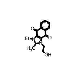 CCN1C2=C(C(=O)c3ccccc3C2=O)N(CCO)C1C